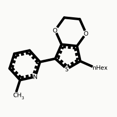 CCCCCCc1sc(-c2cccc(C)n2)c2c1OCCO2